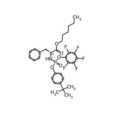 CCCCCCOC(=O)[C@H](Cc1ccccc1)NP(=O)(Oc1ccc(C(C)(C)C)cc1)Oc1c(F)c(F)c(F)c(F)c1F